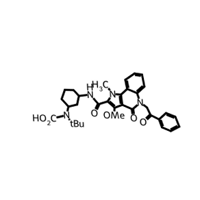 COc1c(C(=O)NC2CCCC(N(C(=O)O)C(C)(C)C)C2)n(C)c2c1c(=O)n(CC(=O)c1ccccc1)c1ccccc21